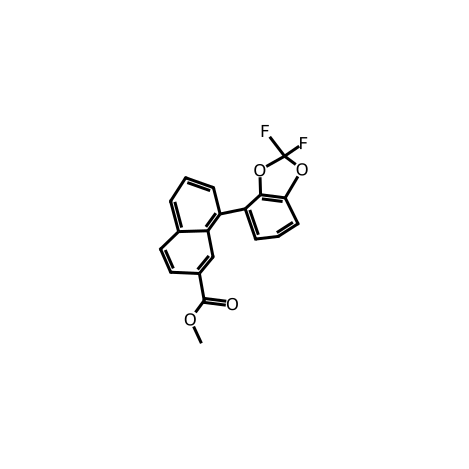 COC(=O)c1ccc2cccc(-c3cccc4c3OC(F)(F)O4)c2c1